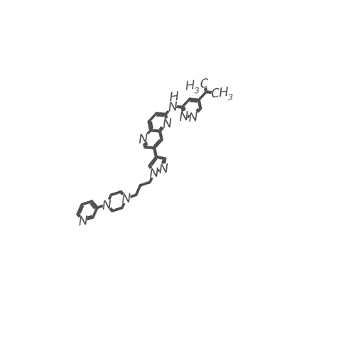 CC(C)c1cnnc(Nc2ccc3ncc(-c4cnn(CCCN5CCN(c6cccnc6)CC5)c4)cc3n2)c1